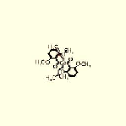 CCC[CH2][Ge]([CH2]CCC)([C](=O)c1c(OC)cccc1OC)[C](=O)c1c(OC)cccc1OC